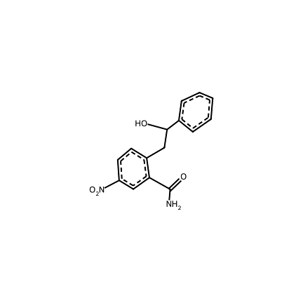 NC(=O)c1cc([N+](=O)[O-])ccc1CC(O)c1ccccc1